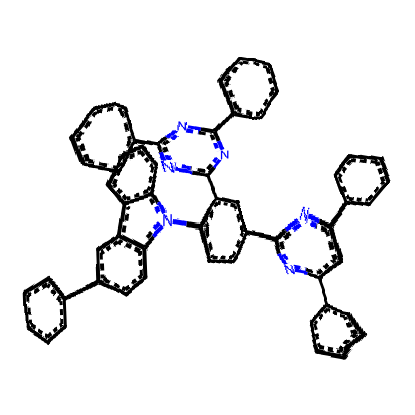 c1ccc(-c2ccc3c(c2)c2ccccc2n3-c2ccc(-c3nc(-c4ccccc4)cc(-c4ccccc4)n3)cc2-c2nc(-c3ccccc3)nc(-c3ccccc3)n2)cc1